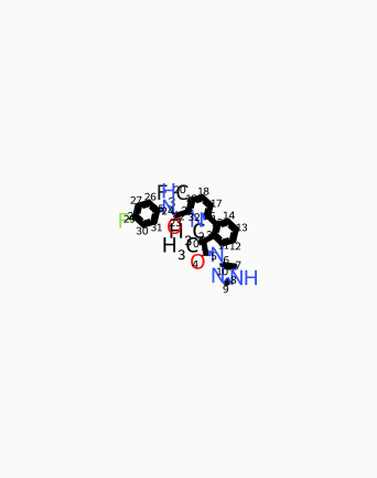 CC1(C)C(=O)N(c2c[nH]cn2)c2cccc(-c3ccc(C(F)(F)F)c(C(=O)Nc4ccc(F)cc4)n3)c21